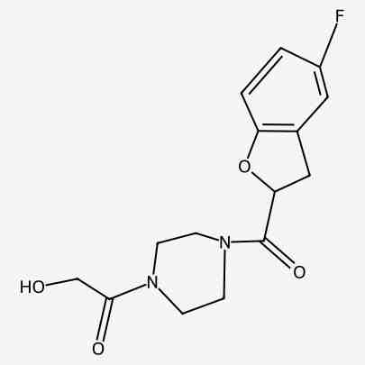 O=C(CO)N1CCN(C(=O)C2Cc3cc(F)ccc3O2)CC1